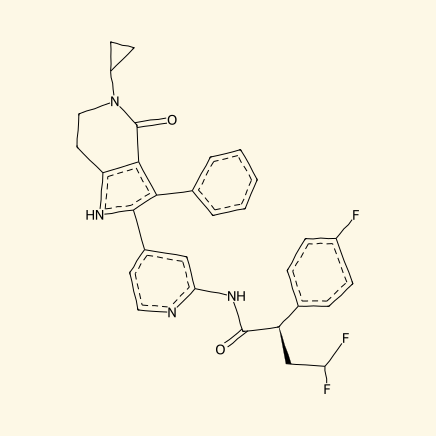 O=C(Nc1cc(-c2[nH]c3c(c2-c2ccccc2)C(=O)N(C2CC2)CC3)ccn1)[C@H](CC(F)F)c1ccc(F)cc1